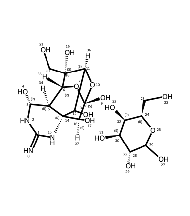 N=C1N[C@H](O)[C@H]2[C@H]3O[C@]4(O)O[C@@H](C(O)[C@@]2(N1)[C@@H]4O)[C@]3(O)CO.OC[C@H]1OC(O)[C@H](O)[C@@H](O)[C@H]1O